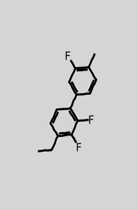 CCc1ccc(-c2ccc(C)c(F)c2)c(F)c1F